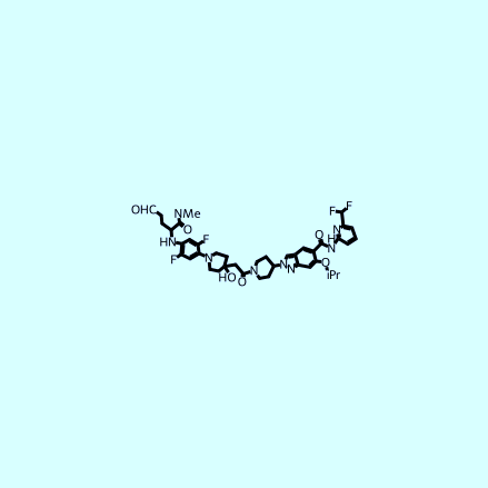 CNC(=O)C(CCC=O)Nc1cc(F)c(N2CCC(O)(CC(=O)N3CCC(n4cc5cc(C(=O)Nc6cccc(C(F)F)n6)c(OC(C)C)cc5n4)CC3)CC2)cc1F